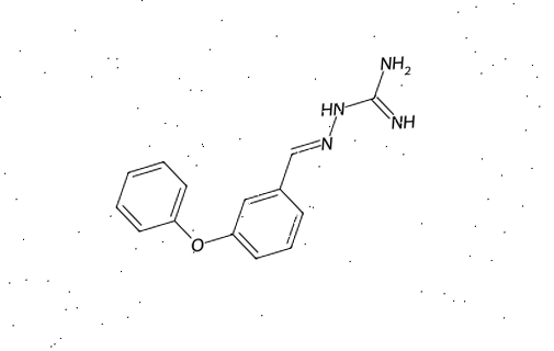 N=C(N)NN=Cc1cccc(Oc2ccccc2)c1